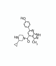 Cc1n[nH]c2nc(-c3ccc(O)cc3)cc(C(=O)N3CCNC(C4CC4)C3)c12